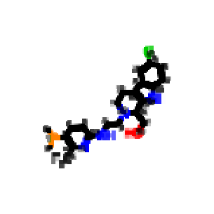 CP(C)c1ccc(NCCN2CCc3c([nH]c4ccc(Cl)cc34)C2CO)nc1C(F)(F)F